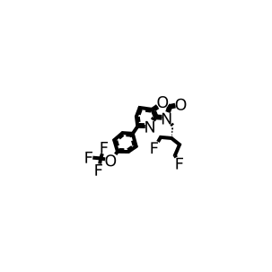 O=c1oc2ccc(-c3ccc(OC(F)(F)F)cc3)nc2n1C[C@@H](CF)CCF